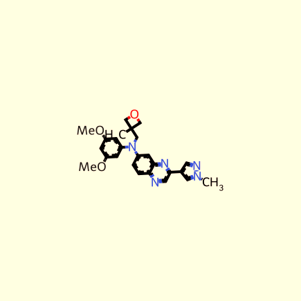 COc1cc(OC)cc(N(CC2(C)COC2)c2ccc3ncc(-c4cnn(C)c4)nc3c2)c1